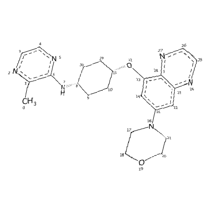 Cc1nccnc1N[C@H]1CC[C@@H](Oc2cc(N3CCOCC3)cc3nccnc23)CC1